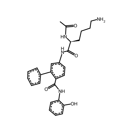 CC(=O)N[C@@H](CCCCN)C(=O)Nc1ccc(C(=O)Nc2ccccc2O)c(-c2ccccc2)c1